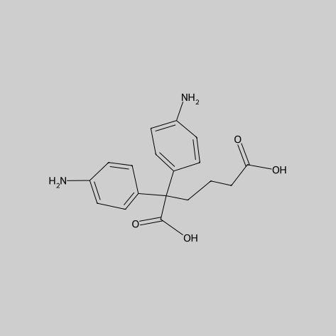 Nc1ccc(C(CCCC(=O)O)(C(=O)O)c2ccc(N)cc2)cc1